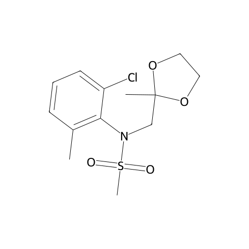 Cc1cccc(Cl)c1N(CC1(C)OCCO1)S(C)(=O)=O